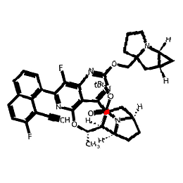 C#Cc1c(F)ccc2cccc(-c3nc4c5c(nc(OCC67CCCN6[C@@H]6C[C@@H]6C7)nc5c3F)N3C[C@H]5CC[C@@H]([C@H]3[C@H](C)O4)N5C(=O)OC(C)(C)C)c12